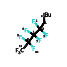 CC(C)(C)CC(F)(F)C(F)(F)C(F)(F)C(F)(F)F